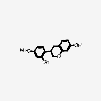 COc1ccc(C2COc3cc(O)ccc3C2)c(O)c1